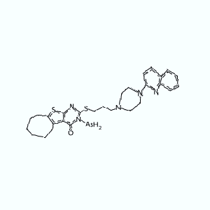 O=c1c2c3c(sc2nc(SCCCN2CCN(c4ccc5ccccc5n4)CC2)n1[AsH2])CCCCCC3